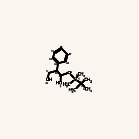 CC(C)(C)[Si](C)(C)OC(O)C(CO)c1ccccc1